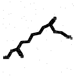 CCCCOC(=O)CCCCCC(=O)OCN